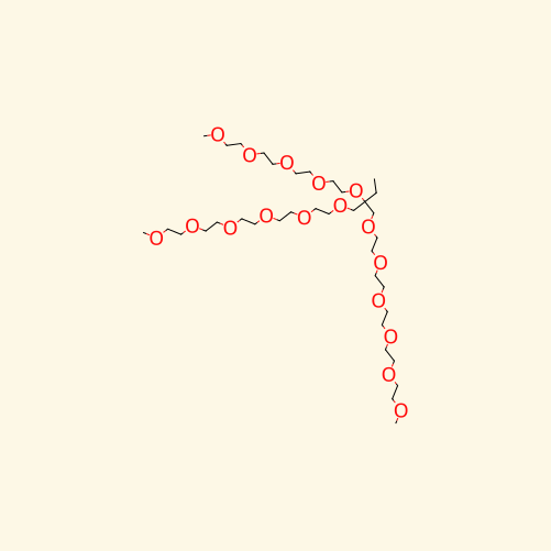 CCC(COCCOCCOCCOCCOCCOC)(COCCOCCOCCOCCOCCOC)OCCOCCOCCOCCOC